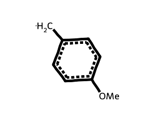 [CH2]c1ccc(OC)cc1